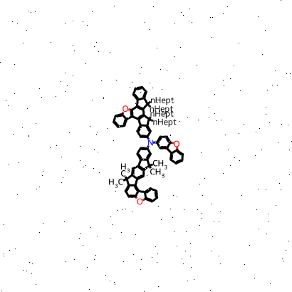 CCCCCCCC1(CCCCCCC)c2ccccc2-c2c1c1c(c3c2oc2ccccc23)-c2ccc(N(c3ccc4c(c3)C(C)(C)c3cc5c(cc3-4)C(C)(C)c3ccc4oc6ccccc6c4c3-5)c3ccc4oc5ccccc5c4c3)cc2C1(CCCCCCC)CCCCCCC